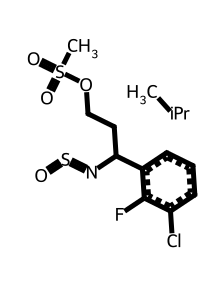 CC(C)C.CS(=O)(=O)OCCC(N=S=O)c1cccc(Cl)c1F